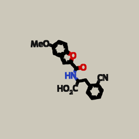 COc1ccc2oc(C(=O)NC(Cc3ccccc3C#N)C(=O)O)cc2c1